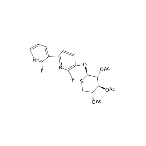 CC(=O)O[C@@H]1[C@@H](OC(C)=O)[C@H](OC(C)=O)CS[C@H]1Oc1ccc(-c2cccnc2F)nc1F